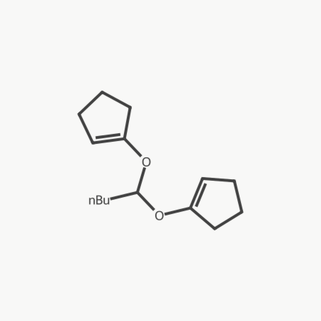 [CH2]CCCC(OC1=CCCC1)OC1=CCCC1